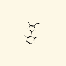 Cc1nc(-c2c(I)cc[nH]c2=O)[nH]c1C=O